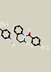 COc1ccc(C(=O)N2c3ccccc3[C@@H](N(C(C)=O)c3ccc(CC(=O)O)cc3)CC2C)cc1